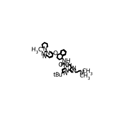 C[C@H]1CCCCN1c1nnc2ccc(O[C@@H]3CC[C@H](NC(=O)Nc4cc(C(C)(C)C)nn4-c4cn(CCN(C)C)nc4CO)c4ccccc43)cn12